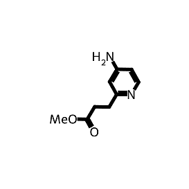 COC(=O)CCc1cc(N)ccn1